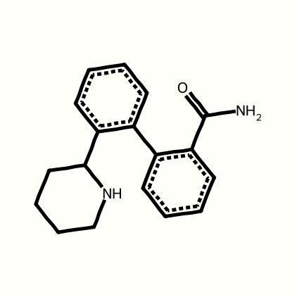 NC(=O)c1ccccc1-c1ccccc1C1CCCCN1